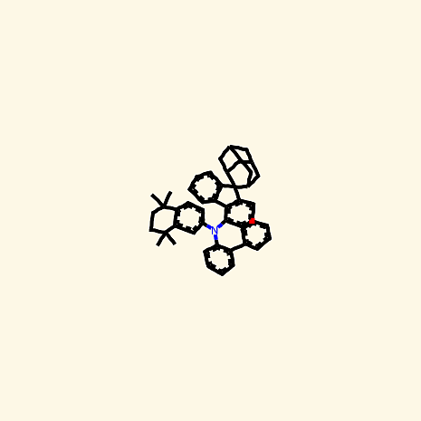 CC1(C)CCC(C)(C)c2cc(N(c3ccccc3-c3ccccc3)c3cccc4c3-c3ccccc3C43C4CC5CC(C4)CC3C5)ccc21